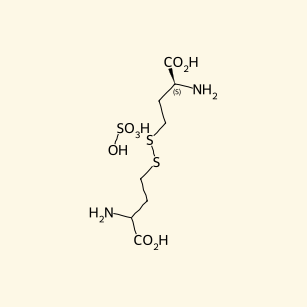 NC(CCSSCC[C@H](N)C(=O)O)C(=O)O.O=S(=O)(O)O